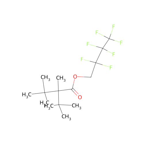 CC(C)(C)C(C)(C(=O)OCC(F)(F)C(F)(F)C(F)(F)F)C(C)(C)C